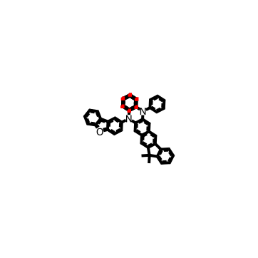 CC1(C)c2ccccc2-c2cc3cc(N(c4ccccc4)c4ccccc4)c(N(c4ccccc4)c4ccc5oc6ccccc6c5c4)cc3cc21